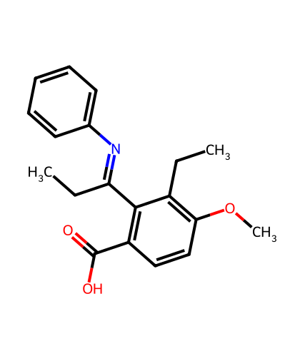 CCC(=Nc1ccccc1)c1c(C(=O)O)ccc(OC)c1CC